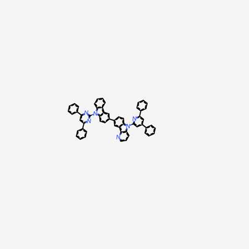 c1ccc(-c2cc(-c3ccccc3)nc(-n3c4ccc(-c5ccc6c(c5)c5ccccc5n6-c5nc(-c6ccccc6)cc(-c6ccccc6)n5)cc4c4ncccc43)c2)cc1